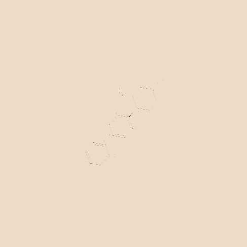 CCN1CC[C@@H](c2ccc(-c3ccccc3)cc2)[C@H](N)C1